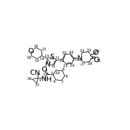 N#CC1(NC(=O)[C@@H]2CCCC[C@H]2c2nc(C3CCOCC3)sc2-c2ccc(N3CCS(=O)(=O)CC3)cc2)CC1